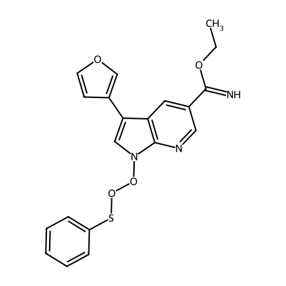 CCOC(=N)c1cnc2c(c1)c(-c1ccoc1)cn2OOSc1ccccc1